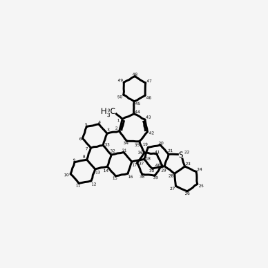 CC1=C(C2CCCC3C4CCCCC4C4CCC(C5CCC6SC7CCCCC7C6C5)CC4C23)CC(C2CCCCC2)C=CC1C1CCCCC1